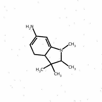 CC1N(C)C2=CC(N)=CCC2C1(C)C